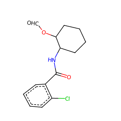 O=COC1CCCCC1NC(=O)c1ccccc1Cl